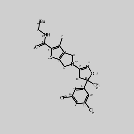 CCC(C)CNC(=O)c1sc2c(c1C)CN(C1=NOC(c3cc(Cl)cc(Cl)c3)(C(F)(F)F)C1)C2